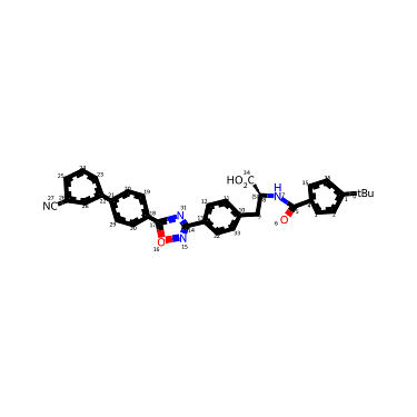 CC(C)(C)c1ccc(C(=O)N[C@@H](Cc2ccc(-c3noc(-c4ccc(-c5cccc(C#N)c5)cc4)n3)cc2)C(=O)O)cc1